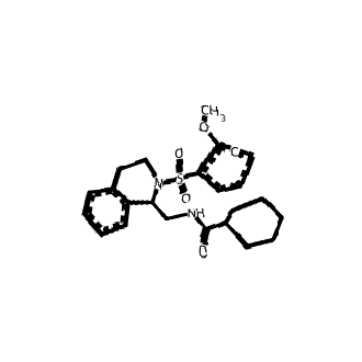 COc1ccccc1S(=O)(=O)N1CCc2ccccc2C1CNC(=O)C1CCCCC1